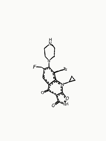 O=c1[nH]oc2c1c(=O)c1cc(F)c(N3CCNCC3)c(Br)c1n2C1CC1